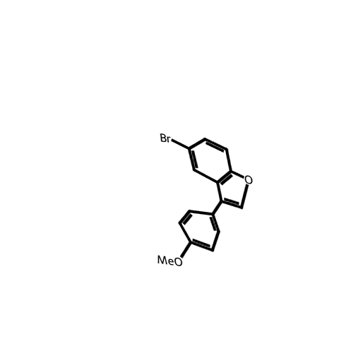 COc1ccc(-c2coc3ccc(Br)cc23)cc1